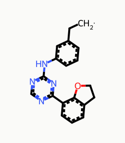 [CH2]Cc1cccc(Nc2ncnc(-c3cccc4c3OCC4)n2)c1